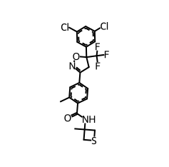 Cc1cc(C2=NOC(c3cc(Cl)cc(Cl)c3)(C(F)(F)F)C2)ccc1C(=O)NC1(C)CSC1